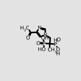 CC(=O)c1cn(CC(C)([PH](=O)O)P(=O)(O)O)cn1